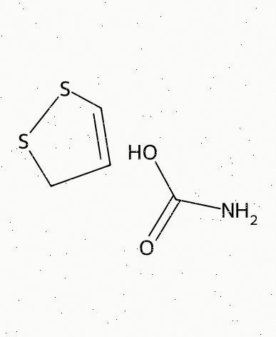 C1=CSSC1.NC(=O)O